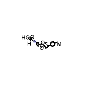 CN(C)Cc1ccc(-c2ccc(S(=O)(=O)n3ccc(/C=C/C(=O)NO)c3)s2)cc1